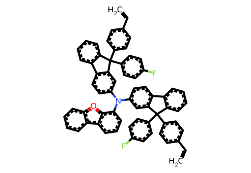 C=Cc1ccc(C2(c3ccc(F)cc3)c3ccccc3-c3ccc(N(c4ccc5c(c4)C(c4ccc(F)cc4)(c4ccc(C=C)cc4)c4ccccc4-5)c4cccc5c4oc4ccccc45)cc32)cc1